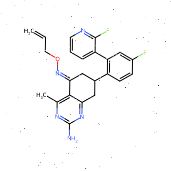 C=CCO/N=C1\CC(c2ccc(F)cc2-c2cccnc2F)Cc2nc(N)nc(C)c21